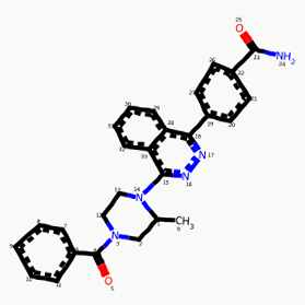 CC1CN(C(=O)c2ccccc2)CCN1c1nnc(-c2ccc(C(N)=O)cc2)c2ccccc12